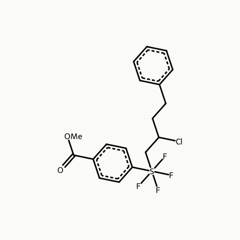 COC(=O)c1ccc(S(F)(F)(F)(F)CC(Cl)CCc2ccccc2)cc1